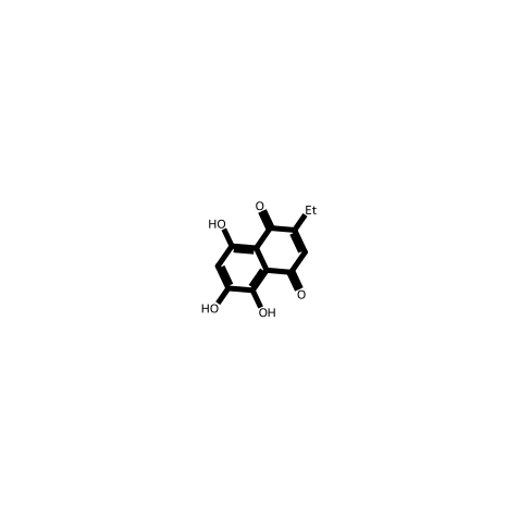 CCC1=CC(=O)c2c(O)c(O)cc(O)c2C1=O